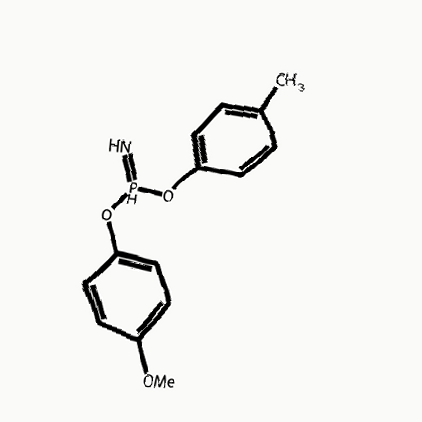 COc1ccc(O[PH](=N)Oc2ccc(C)cc2)cc1